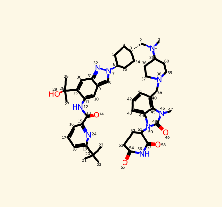 CN(C[C@H]1CC[C@H](n2cc3cc(NC(=O)c4cccc(C(C)(C)C)n4)c(C(C)(C)O)cc3n2)CC1)C1CCN(Cc2cccc3c2n(C)c(=O)n3C2CCC(=O)NC2=O)CC1